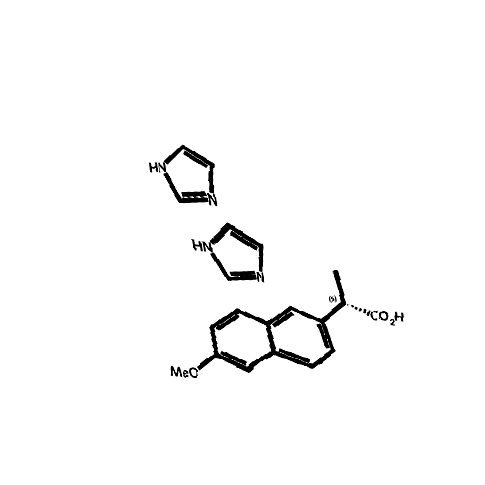 COc1ccc2cc([C@H](C)C(=O)O)ccc2c1.c1c[nH]cn1.c1c[nH]cn1